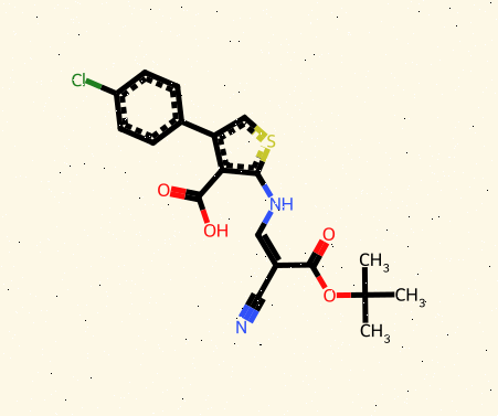 CC(C)(C)OC(=O)C(C#N)=CNc1scc(-c2ccc(Cl)cc2)c1C(=O)O